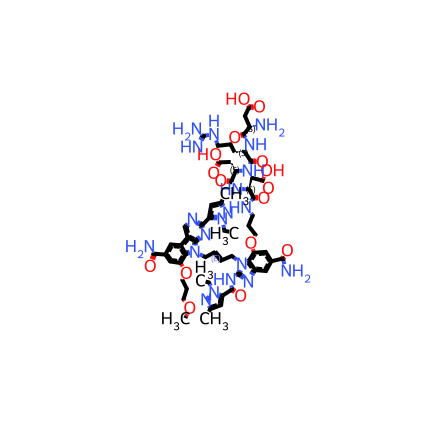 CCn1nc(C)cc1C(=O)Nc1nc2cc(C(N)=O)cc(OCCCNC(=O)[C@H](CC(=O)O)NC(=O)[C@H](CC(=O)O)NC(=O)[C@H](CCCNC(=N)N)NC(=O)[C@@H](N)CC(=O)O)c2n1C/C=C/Cn1c2nc(-c3cc(C)nn3CC)ncc2c2cc(C(N)=O)cc(OCCCOC)c21